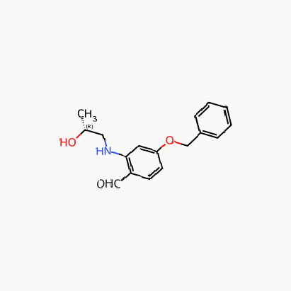 C[C@@H](O)CNc1cc(OCc2ccccc2)ccc1C=O